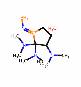 CN(C)C1CC[P](=NP)C1(N(C)C)N(C)C.O